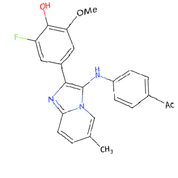 COc1cc(-c2nc3ccc(C)cn3c2Nc2ccc(C(C)=O)cc2)cc(F)c1O